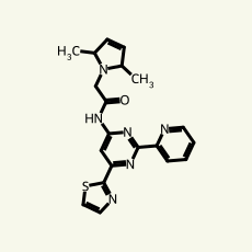 CC1C=CC(C)N1CC(=O)Nc1cc(-c2nccs2)nc(-c2ccccn2)n1